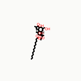 CCCCCCCCCCCCCC(=O)O[C@@H]1C(C)C2(O)[C@@H](C=C(CO)C[C@]3(O)C(=O)C(C)=C[C@@H]23)C2C(C)(C)C21OC(C)=O